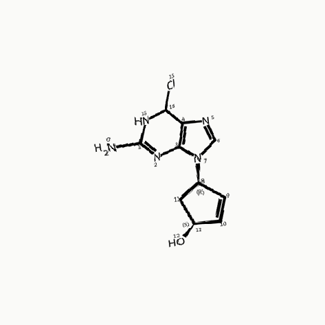 NC1=Nc2c(ncn2[C@H]2C=C[C@@H](O)C2)C(Cl)N1